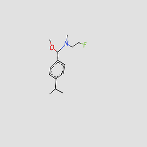 COC(c1ccc(C(C)C)cc1)N(C)CCF